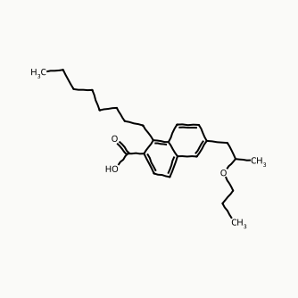 CCCCCCCCc1c(C(=O)O)ccc2cc(CC(C)OCCC)ccc12